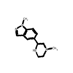 CN1CCNC(c2ccc3c(cnn3C)c2)C1